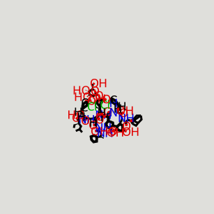 CC[C@H](CC(C)C)C(=O)N[C@H]1C(=O)C[C@@H](CC(=O)NC(=O)N[C@@H](C)c2ccccc2)C(=O)N[C@H]2C(=O)C[C@@H]3C(=O)N[C@H](C(=O)N[C@H](C(=O)CC4C5CC6CC(C5)CC4C6)c4cc(O)cc(O)c4-c4cc3ccc4O)[C@H](O)c3ccc(c(Cl)c3)Oc3cc2cc(c3OC2O[C@H](CO)[C@@H](O)[C@H](O)[C@H]2O)Oc2ccc(cc2Cl)[C@H]1O